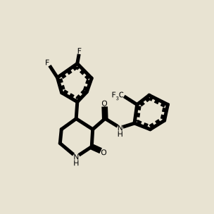 O=C1NCCC(c2ccc(F)c(F)c2)C1C(=O)Nc1ccccc1C(F)(F)F